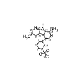 CCS(=O)(=O)c1cccc(-c2cnc(N)c3[nH]c4ncc(C)cc4c23)c1